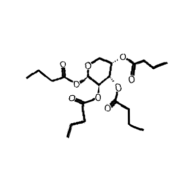 CCCC(=O)O[C@H]1OC[C@H](OC(=O)CCC)[C@H](OC(=O)CCC)[C@H]1OC(=O)CCC